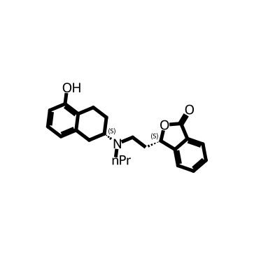 CCCN(CC[C@@H]1OC(=O)c2ccccc21)[C@H]1CCc2c(O)cccc2C1